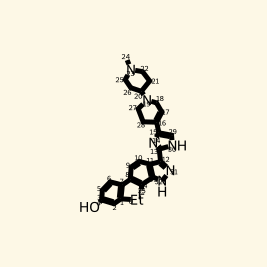 CCc1cc(O)ccc1-c1ccc2c(-c3nc(C4=CCN(C5CCN(C)CC5)CC4)c[nH]3)n[nH]c2c1F